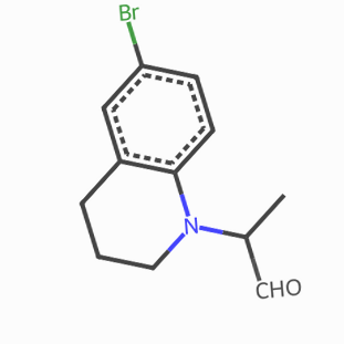 CC(C=O)N1CCCc2cc(Br)ccc21